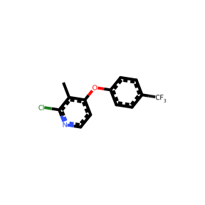 Cc1c(Oc2ccc(C(F)(F)F)cc2)ccnc1Cl